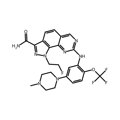 CN1CCN(c2ccc(OC(F)(F)F)c(Nc3ncc4ccc5c(C(N)=O)nn(CCF)c5c4n3)c2)CC1